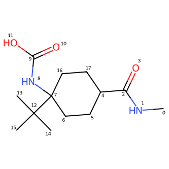 CNC(=O)C1CCC(NC(=O)O)(C(C)(C)C)CC1